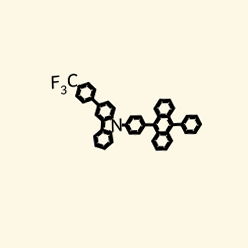 FC(F)(F)c1ccc(-c2ccc3c(c2)c2ccccc2n3-c2ccc(-c3c4ccccc4c(-c4ccccc4)c4ccccc34)cc2)cc1